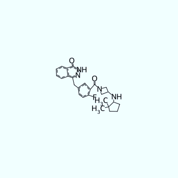 CC1(C)CCCC1NC1CN(C(=O)c2cc(Cc3n[nH]c(=O)c4ccccc34)ccc2F)C1